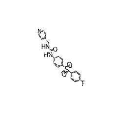 O=C(NCc1ccncc1)Nc1ccc(S(=O)(=O)c2ccc(F)cc2)cc1